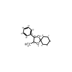 [CH2]C1OC2(CCCCC2)OC1c1ccccc1